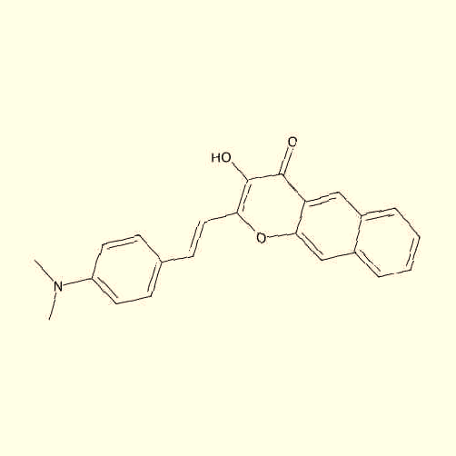 CN(C)c1ccc(C=Cc2oc3cc4ccccc4cc3c(=O)c2O)cc1